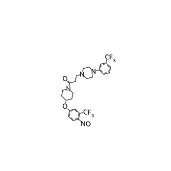 O=Nc1ccc(OC2CCN(C(=O)CCN3CCN(c4cccc(C(F)(F)F)c4)CC3)CC2)cc1C(F)(F)F